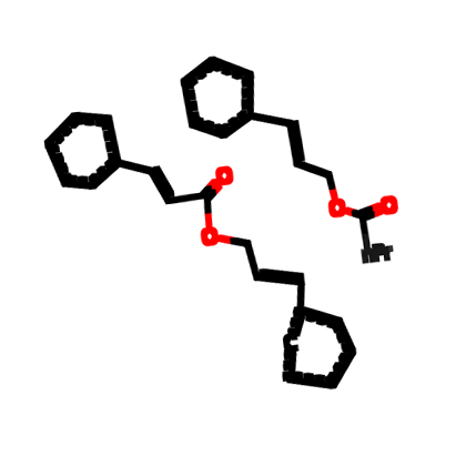 CCCC(=O)OC/C=C/c1ccccc1.O=C(/C=C/c1ccccc1)OC/C=C/c1ccccc1